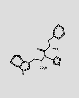 N[C@@H](Cc1ccccc1)C(=O)N(c1ccno1)[C@@H](Cc1c[nH]c2ccccc12)C(=O)O